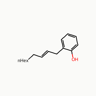 CCCCCCCC=CCc1ccccc1O